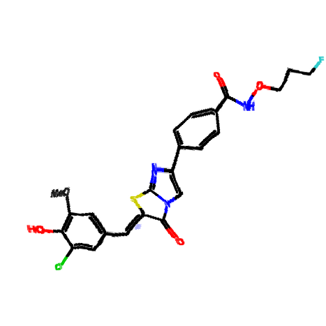 COc1cc(/C=c2\sc3nc(-c4ccc(C(=O)NOCCCF)cc4)cn3c2=O)cc(Cl)c1O